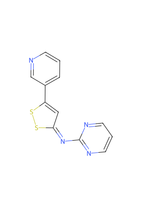 c1cnc(/N=c2\cc(-c3cccnc3)ss2)nc1